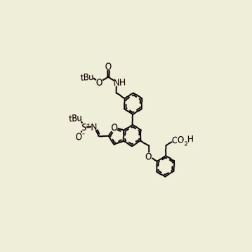 CC(C)(C)OC(=O)NCc1cccc(-c2cc(COc3ccccc3CC(=O)O)cc3cc(C=N[S+]([O-])C(C)(C)C)oc23)c1